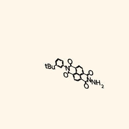 CC(C)(C)c1cccc(N2C(=O)c3ccc4c5c(ccc(c35)C2=O)C(=O)N(N)C4=O)c1